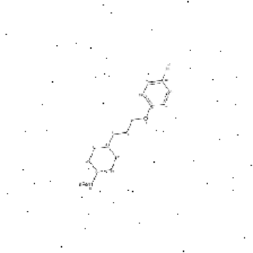 CCCCCC1CCC(CCCOc2ccc(CC)cc2)CC1